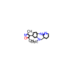 Cc1noc(C)c1-c1ccc2c(c1)N(C=O)Cc1cccnc1N2